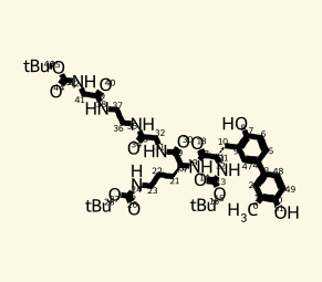 Cc1cc(-c2ccc(O)c(C[C@H](NC(=O)OC(C)(C)C)C(=O)N[C@@H](CCCNC(=O)OC(C)(C)C)C(=O)NCC(=O)NCCNC(=O)CNC(=O)OC(C)(C)C)c2)ccc1O